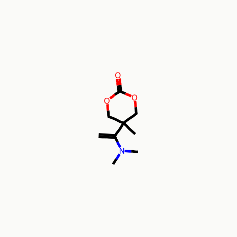 C=C(N(C)C)C1(C)COC(=O)OC1